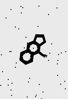 CC(C)c1c2c(nc3ccccc13)C=CC2